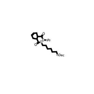 CCCCCCCCCCCCCCCCOC(=O)C1CC=CCC1C(=O)OCCC